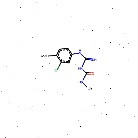 COc1ccc(NC(=N)NC(=O)NC(C)(C)C)cc1Cl